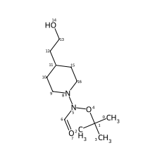 CC(C)(C)ON(C=O)N1CCC(CCO)CC1